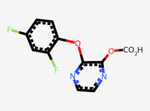 O=C(O)Oc1nccnc1Oc1ccc(F)cc1F